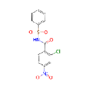 O=C(NS(=O)(=O)c1ccccc1)c1ccc([N+](=O)[O-])cc1Cl